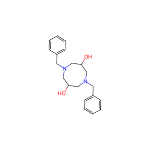 OC1CN(Cc2ccccc2)CC(O)CN(Cc2ccccc2)C1